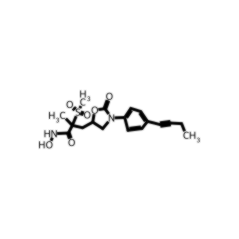 CCC#Cc1ccc(N2CC(CC(C)(C(=O)NO)S(C)(=O)=O)OC2=O)cc1